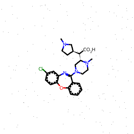 CN1CC[C@H](C(C(=O)O)[C@H]2CN(C3=Nc4cc(Cl)ccc4Oc4ccccc43)CCN2C)C1